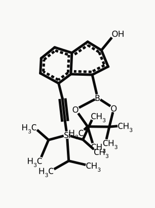 CC(C)[Si](C#Cc1cccc2cc(O)cc(B3OC(C)(C)C(C)(C)O3)c12)(C(C)C)C(C)C